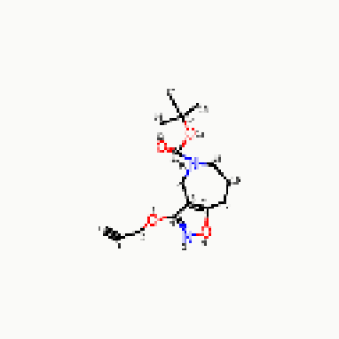 C#CCOc1noc2c1CN(C(=O)OC(C)(C)C)CCC2